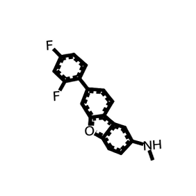 CNc1ccc2oc3cc(-c4ccc(F)cc4F)ccc3c2c1